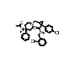 CC(=O)N(C)C1(c2ccccc2)CCN(CC2CC2(C(=O)N(C)Cc2ccccc2Cl)c2ccc(Cl)cc2)CC1